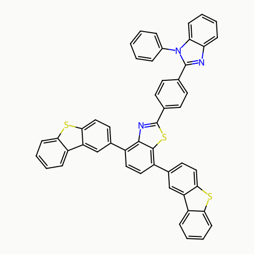 c1ccc(-n2c(-c3ccc(-c4nc5c(-c6ccc7sc8ccccc8c7c6)ccc(-c6ccc7sc8ccccc8c7c6)c5s4)cc3)nc3ccccc32)cc1